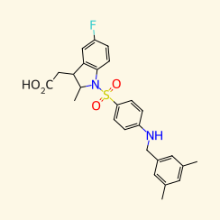 Cc1cc(C)cc(CNc2ccc(S(=O)(=O)N3c4ccc(F)cc4C(CC(=O)O)C3C)cc2)c1